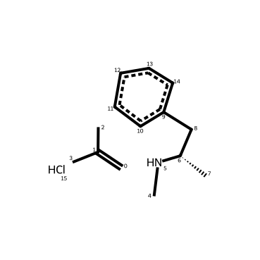 C=C(C)C.CN[C@@H](C)Cc1ccccc1.Cl